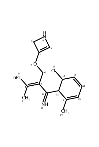 CCC/C(C)=C(\COC1=CNC1)C(=N)C1C(C)=CC=CC1Cl